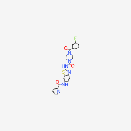 O=C(Nc1ccc2nc(NC(=O)N3CCN(C(=O)c4cccc(F)c4)CC3)sc2c1)c1ccccn1